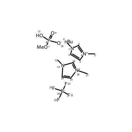 CCCCn1cc[n+](C)c1.COP(=O)([O-])O.Cn1cc[n+](C)c1.F[B-](F)(F)F